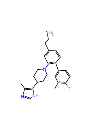 Cc1cc(-c2ccc(CCN)cc2N2CCC(c3[nH]cnc3C)CC2)ccc1F